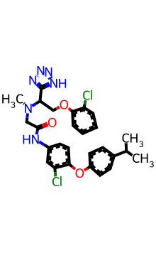 CC(C)c1ccc(Oc2ccc(NC(=O)CN(C)C(COc3ccccc3Cl)c3nnn[nH]3)cc2Cl)cc1